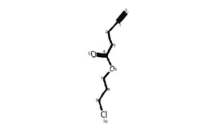 [C]#CCCC(=O)OCCCCl